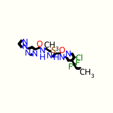 C/C=C/C(F)(F)c1cc(NC(=O)c2cnc(C(C)NC(=O)c3cc(-n4cccn4)ncn3)s2)ncc1Cl